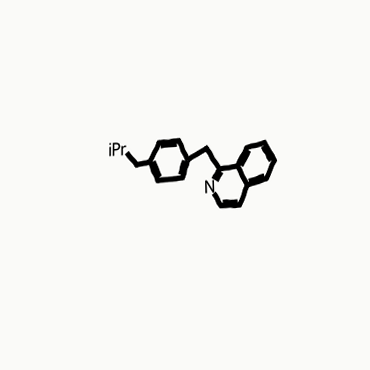 CC(C)Cc1ccc(Cc2nccc3ccccc23)cc1